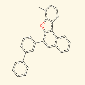 Cc1cccc2c1oc1c(-c3cccc(-c4ccccc4)c3)cc3ccccc3c12